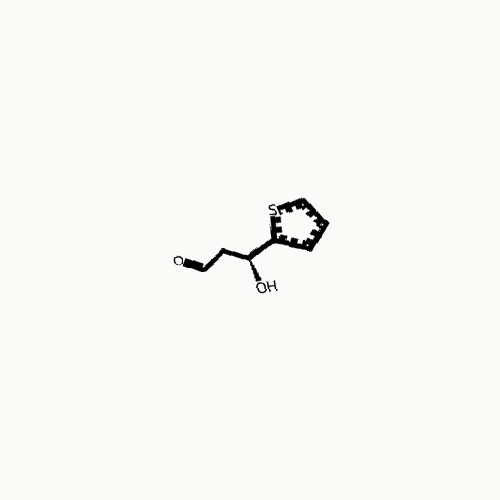 O=CC[C@H](O)c1cccs1